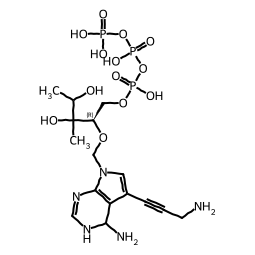 CC(O)C(C)(O)[C@@H](COP(=O)(O)OP(=O)(O)OP(=O)(O)O)OCn1cc(C#CCN)c2c1N=CNC2N